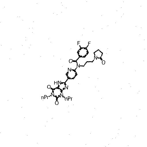 CCCn1c(=O)c2[nH]c(-c3ccc(N(CCCN4CCCC4=O)C(=O)c4ccc(F)c(F)c4)nc3)nc2n(CCC)c1=O